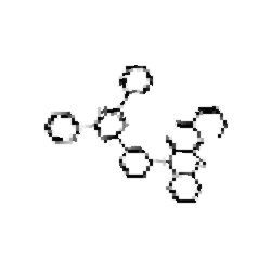 C=C1C=CCC/C1=C1\OC2=C(C=CCC2)N(C2C=C(c3nc(-c4ccccc4)nc(-c4ccccc4)n3)C=CC2)C1=C